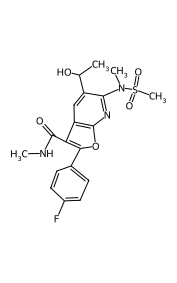 CNC(=O)c1c(-c2ccc(F)cc2)oc2nc(N(C)S(C)(=O)=O)c(C(C)O)cc12